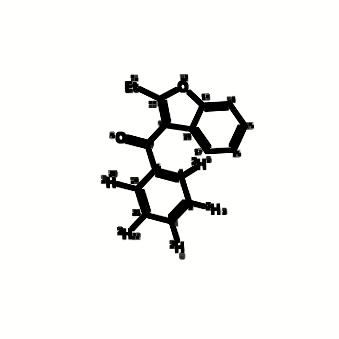 [2H]c1c([2H])c([2H])c(C(=O)c2c(CC)oc3ccccc23)c([2H])c1[2H]